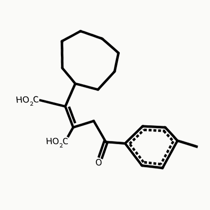 Cc1ccc(C(=O)CC(C(=O)O)=C(C(=O)O)C2CCCCCCC2)cc1